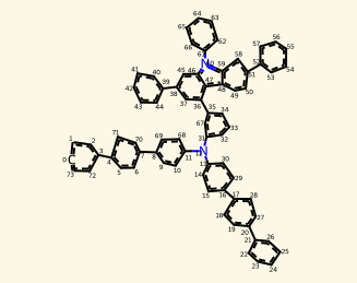 c1ccc(-c2ccc(-c3ccc(N(c4ccc(-c5ccc(-c6ccccc6)cc5)cc4)c4cccc(-c5cc(-c6ccccc6)cc6c5c5ccc(-c7ccccc7)cc5n6-c5ccccc5)c4)cc3)cc2)cc1